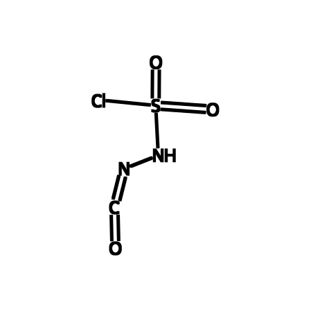 O=C=NNS(=O)(=O)Cl